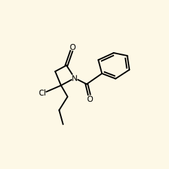 CCCC1(Cl)CC(=O)N1C(=O)c1ccccc1